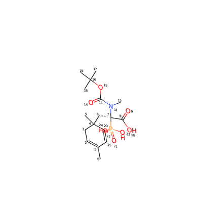 CC1=CCC(C)(C[C@@](C(=O)O)(N(C)C(=O)OC(C)(C)C)P(=O)(O)O)C=C1